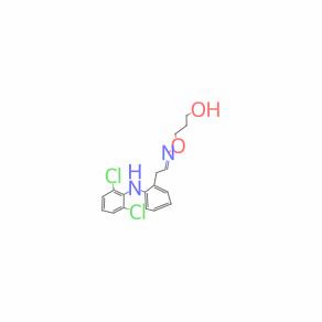 OCCCON=CCc1ccccc1Nc1c(Cl)cccc1Cl